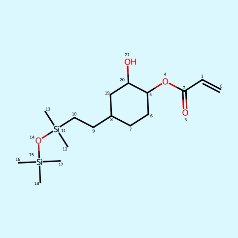 C=CC(=O)OC1CCC(CC[Si](C)(C)O[Si](C)(C)C)CC1O